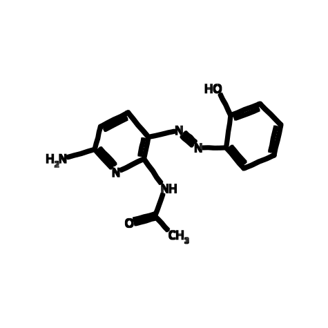 CC(=O)Nc1nc(N)ccc1/N=N/c1ccccc1O